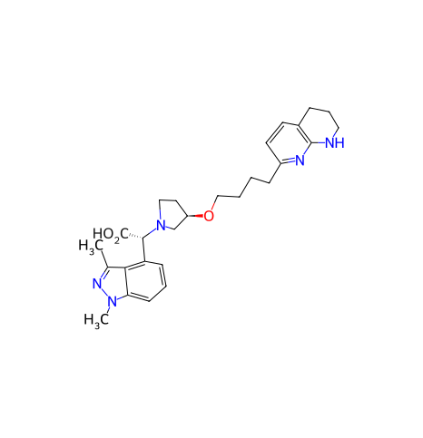 Cc1nn(C)c2cccc([C@H](C(=O)O)N3CC[C@@H](OCCCCc4ccc5c(n4)NCCC5)C3)c12